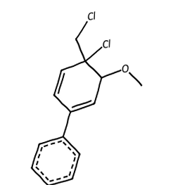 COC1C=C(c2ccccc2)C=CC1(Cl)CCl